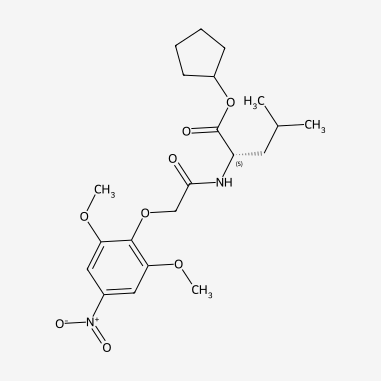 COc1cc([N+](=O)[O-])cc(OC)c1OCC(=O)N[C@@H](CC(C)C)C(=O)OC1CCCC1